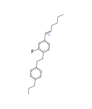 CCCC/C=C/c1ccc(CCc2ccc(CCC)cc2)c(F)c1